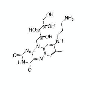 Cc1cc2nc3c(=O)[nH]c(=O)nc-3n(C[C@H](O)[C@H](O)[C@H](O)CO)c2cc1NCCCN